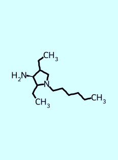 CCCCCCN1CC(CC)[C@H](N)C1CC